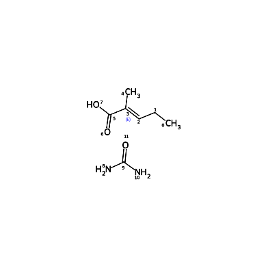 CC/C=C(\C)C(=O)O.NC(N)=O